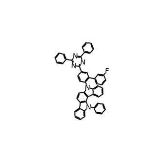 Fc1cccc(-c2cc(-c3nc(-c4ccccc4)nc(-c4ccccc4)n3)ccc2-n2c3ccccc3c3c2ccc2c4ccccc4n(-c4ccccc4)c23)c1